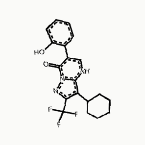 O=c1c(-c2ccccc2O)c[nH]c2c(C3CCCCC3)c(C(F)(F)F)nn12